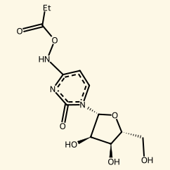 CCC(=O)ONc1ccn([C@@H]2O[C@H](CO)[C@@H](O)[C@H]2O)c(=O)n1